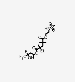 CCC(C)(CC(C)(C)C(=O)OCCNS(C)(=O)=O)C(=O)OC(C)CC(O)(F)C(F)(F)F